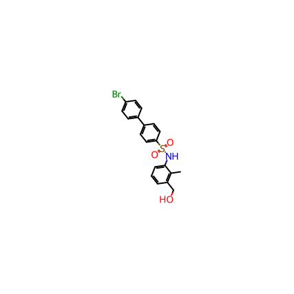 Cc1c(CO)cccc1NS(=O)(=O)c1ccc(-c2ccc(Br)cc2)cc1